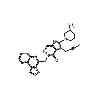 CC#CCn1c(N2CCCC(N)C2)nc2cnn(Cc3nc4ccccc4c4ccnn34)c(=O)c21